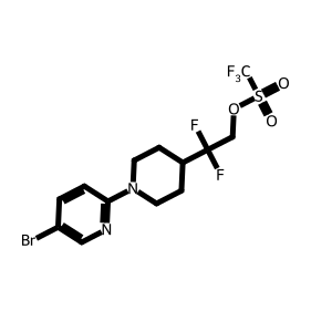 O=S(=O)(OCC(F)(F)C1CCN(c2ccc(Br)cn2)CC1)C(F)(F)F